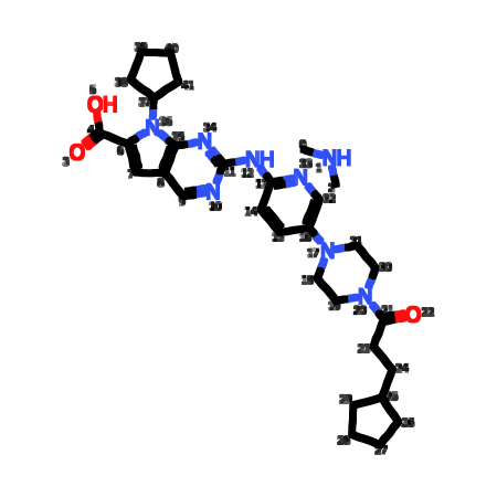 CNC.O=C(O)c1cc2cnc(Nc3ccc(N4CCN(C(=O)CCC5CCCC5)CC4)cn3)nc2n1C1CCCC1